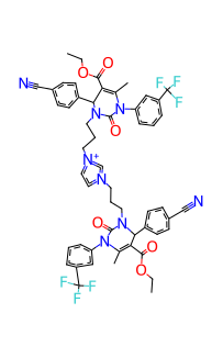 CCOC(=O)C1=C(C)N(c2cccc(C(F)(F)F)c2)C(=O)N(CCCn2cc[n+](CCCN3C(=O)N(c4cccc(C(F)(F)F)c4)C(C)=C(C(=O)OCC)C3c3ccc(C#N)cc3)c2)C1c1ccc(C#N)cc1